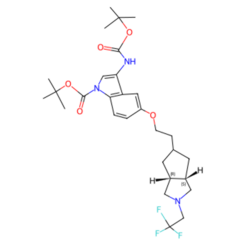 CC(C)(C)OC(=O)Nc1cn(C(=O)OC(C)(C)C)c2ccc(OCCC3C[C@@H]4CN(CC(F)(F)F)C[C@@H]4C3)cc12